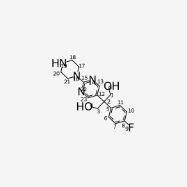 OCC(CO)(c1ccc(F)cc1)c1cnc(N2CCNCC2)nc1